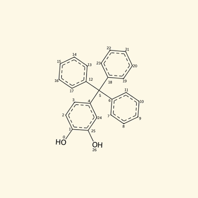 Oc1ccc(C(c2ccccc2)(c2ccccc2)c2ccccc2)cc1O